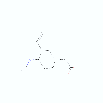 C/C=C/B1CC(CC(=O)O)CCC1NC